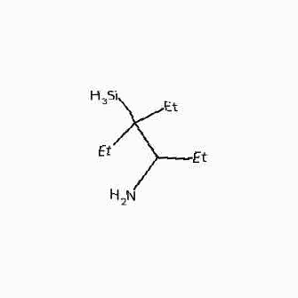 CCC(N)C([SiH3])(CC)CC